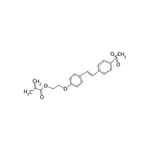 C=C(C)C(=O)OCCOc1ccc(/C=C/c2ccc(S(C)(=O)=O)cc2)cc1